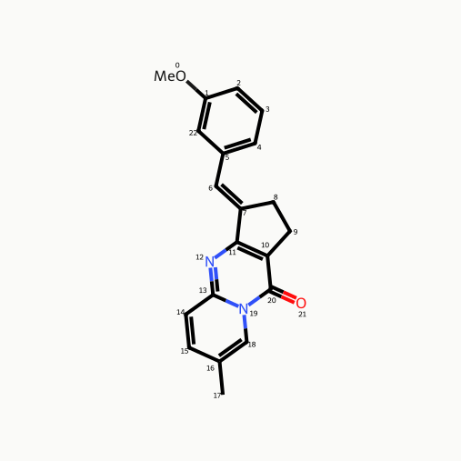 COc1cccc(C=C2CCc3c2nc2ccc(C)cn2c3=O)c1